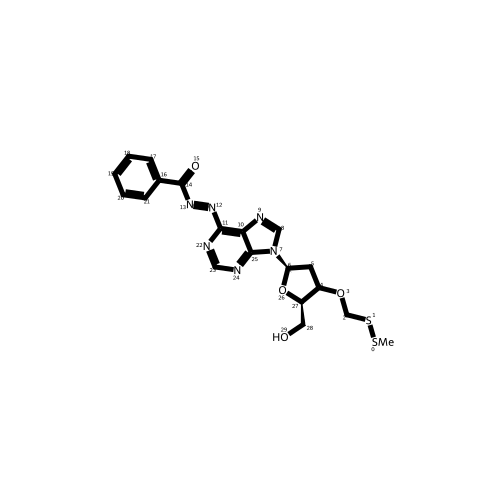 CSSCOC1C[C@H](n2cnc3c(N=NC(=O)c4ccccc4)ncnc32)O[C@@H]1CO